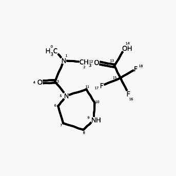 CN(C)C(=O)N1CCCNCC1.O=C(O)C(F)(F)F